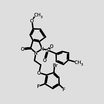 COc1ccc2c(c1)c(=O)n(CCOc1c(F)cc(F)cc1Br)n2S(=O)(=O)c1ccc(C)cc1